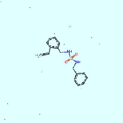 C=Cc1ccccc1CNS(=O)(=O)NCc1ccccc1